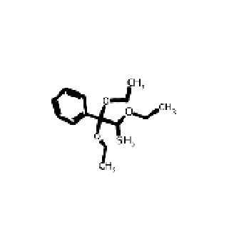 CCOC([SiH3])C(OCC)(OCC)c1ccccc1